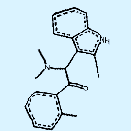 Cc1ccccc1C(=O)C(c1c(C)[nH]c2ccccc12)N(C)C